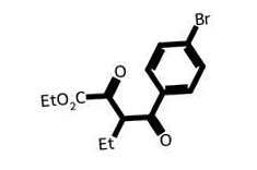 CCOC(=O)C(=O)C(CC)C(=O)c1ccc(Br)cc1